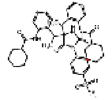 CC(c1ccncc1NC(=O)C1CCCCC1)C1(C(C)c2ccncc2NC(=O)C2CCCCC2)NC(=O)N(c2ccc(S(=O)(=O)C(F)(F)F)cc2)C1=O